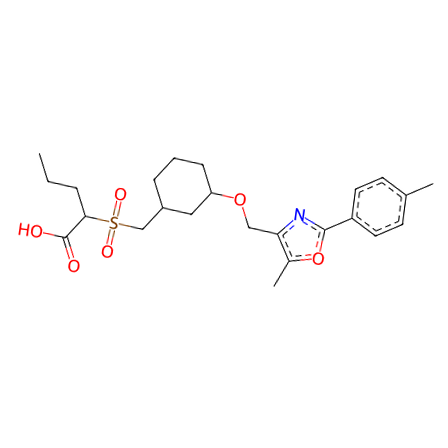 CCCC(C(=O)O)S(=O)(=O)CC1CCCC(OCc2nc(-c3ccc(C)cc3)oc2C)C1